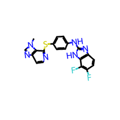 Cn1cnc2ccnc(Sc3ccc(Nc4nc5ccc(F)c(F)c5[nH]4)cc3)c21